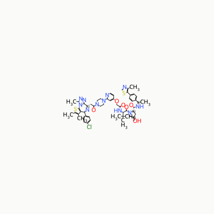 Cc1ncsc1-c1ccc([C@H](C)NC(=O)[C@@H]2C[C@@H](O)CN2C(=O)C(NC(=O)COc2ccnc(N3CCN(C(=O)C[C@@H]4N=C(c5ccc(Cl)cc5)c5c(sc(C)c5C)-n5c(C)nnc54)CC3)c2)C(C)(C)C)cc1